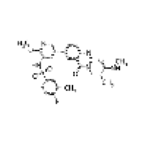 CNC(=O)[C@@H](C)Cn1cnc2ccc(-c3cnc(OC)c(NS(=O)(=O)c4ccc(F)c(C)c4)c3)cc2c1=O